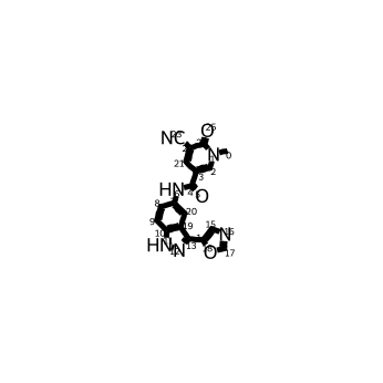 Cn1cc(C(=O)Nc2ccc3[nH]nc(-c4cnco4)c3c2)cc(C#N)c1=O